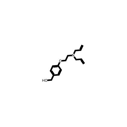 C=CCN(CC=C)CCOc1ccc(CO)cc1